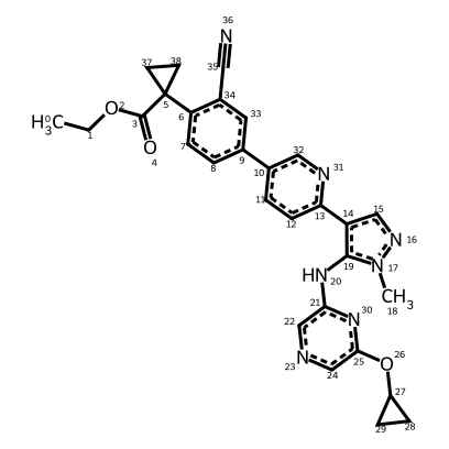 CCOC(=O)C1(c2ccc(-c3ccc(-c4cnn(C)c4Nc4cncc(OC5CC5)n4)nc3)cc2C#N)CC1